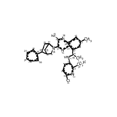 Cc1cc([C@@H](C)Nc2ccc(Cl)nc2C(=O)O)c2nc(N3CC4CC3CC4c3ccccc3)c(C#N)nc2c1